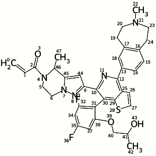 C=CC(=O)N1CCn2nc(-c3nc(-c4ccc5c(c4)CCN(C)CC5)c4ccsc4c3-c3c(F)cc(F)cc3OCC(C)O)cc2C1C